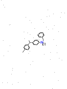 CCN(Cc1ccccc1)c1ccc(C(C)c2ccc(C)cc2)cc1